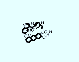 C=C[C@@H]1CN2CCC1C[C@@H]2[C@H](O)c1ccnc2ccc(OC)cc12.O=C(O)c1cc2cc3ccccc3cc2cc1O